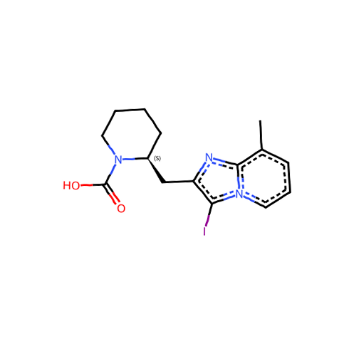 Cc1cccn2c(I)c(C[C@@H]3CCCCN3C(=O)O)nc12